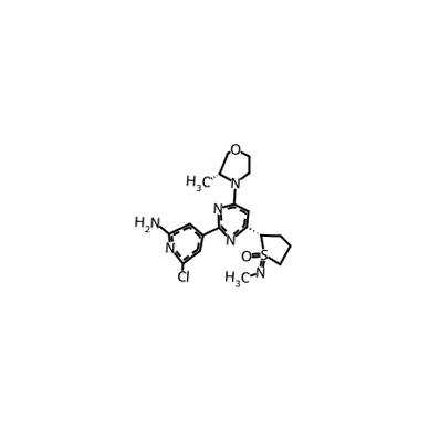 CN=S1(=O)CCC[C@H]1c1cc(N2CCOC[C@H]2C)nc(-c2cc(N)nc(Cl)c2)n1